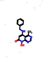 Cc1ncnc2c1c(NCc1ccccc1)cc(=O)n2O